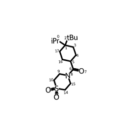 CC(C)C1(C(C)(C)C)CCC(C(=O)N2CCS(=O)(=O)CC2)CC1